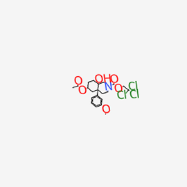 COc1cccc([C@]23CCN(C(=O)OCC(Cl)(Cl)Cl)C[C@@]2(O)CCC(OC(C)=O)C3)c1